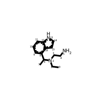 CCN(CCN)C(C)c1cccc2[nH]ccc12